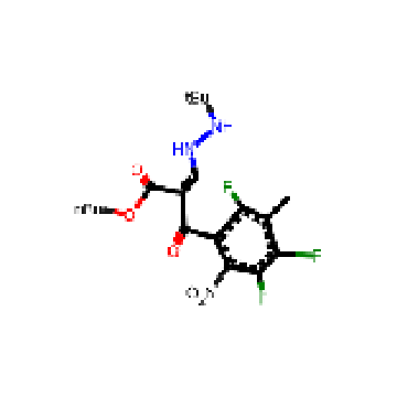 CCCCOC(=O)C(=CNNC(C)(C)C)C(=O)c1c(F)c(C)c(F)c(F)c1[N+](=O)[O-]